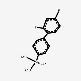 CC(=O)O[Si](OC(C)=O)(OC(C)=O)c1ccc(-c2ccc(F)cc2F)cc1